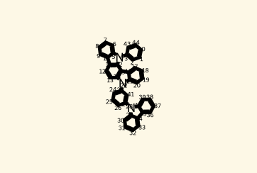 c1ccc(-n2c3ccccc3c3ccc4c(c5ccccc5n4-c4cccc(-n5c6ccccc6c6ccccc65)c4)c32)cc1